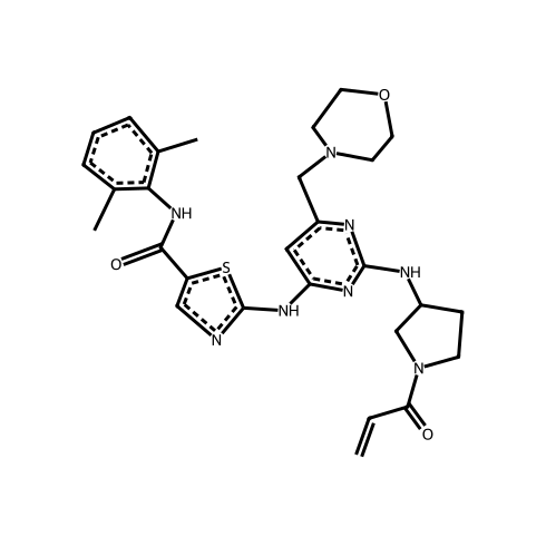 C=CC(=O)N1CCC(Nc2nc(CN3CCOCC3)cc(Nc3ncc(C(=O)Nc4c(C)cccc4C)s3)n2)C1